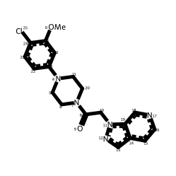 COc1cc(N2CCN(C(=O)Cn3ncc4ccncc43)CC2)ccc1Cl